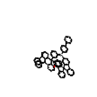 c1ccc(-c2ccc(N(c3cccc(C4(c5ccccc5)c5ccccc5C5(c6ccccc6)c6ccccc6-c6cccc4c65)c3)c3ccc4c(c3)C3(c5ccccc5-c5ccccc53)c3ccccc3-4)cc2)cc1